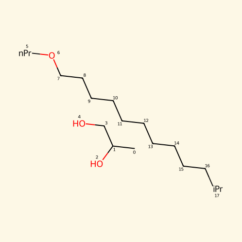 CC(O)CO.CCCOCCCCCCCCCCC(C)C